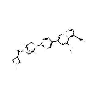 COc1cc(-c2ccc(N3C[C@@H]4C[C@H]3CN4C(=O)C3CNC3)nc2)cn2ncc(C#N)c12